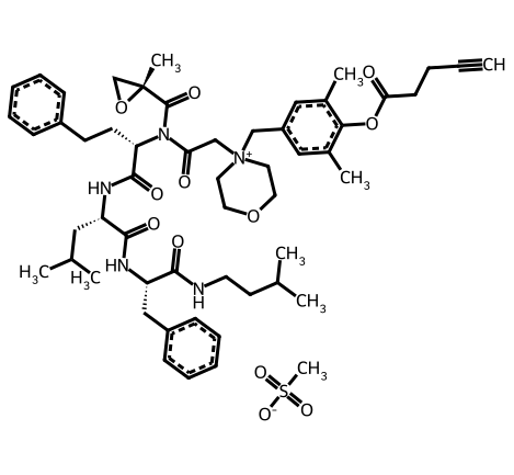 C#CCCC(=O)Oc1c(C)cc(C[N+]2(CC(=O)N(C(=O)[C@@]3(C)CO3)[C@@H](CCc3ccccc3)C(=O)N[C@@H](CC(C)C)C(=O)N[C@@H](Cc3ccccc3)C(=O)NCCC(C)C)CCOCC2)cc1C.CS(=O)(=O)[O-]